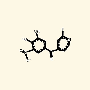 O=C(c1ccnc(F)c1)c1cc(O)c(O)c([N+](=O)[O-])c1